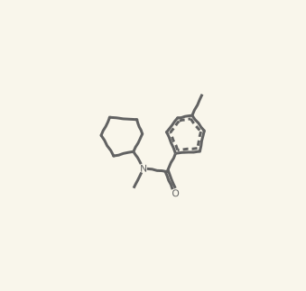 Cc1ccc(C(=O)N(C)C2CCCCC2)cc1